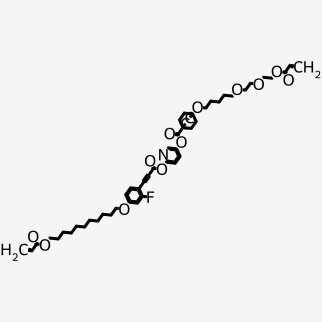 C=CC(=O)OCCCCCCCCCCCOc1ccc(C#CC(=O)Oc2ccc(OC(=O)C34CCC(OCCCCCOCCOCCOC(=O)C=C)(CC3)CC4)cn2)c(F)c1